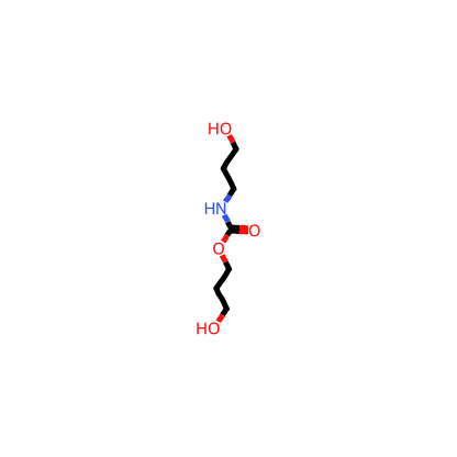 O=C(NCCCO)OCCCO